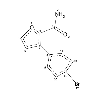 NC(=O)c1occc1-c1ccc(Br)cc1